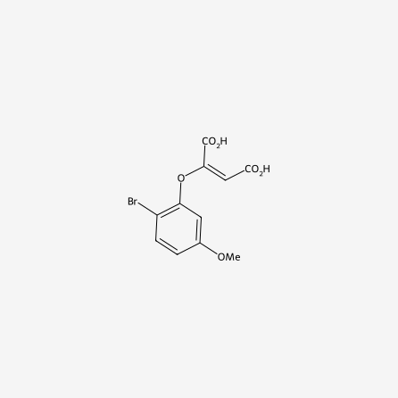 COc1ccc(Br)c(OC(=CC(=O)O)C(=O)O)c1